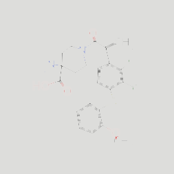 C=C(C(=O)N1CCC(N)(C(=O)O)CC1)c1ccc(Sc2ccccc2OC)c(Cl)c1Cl